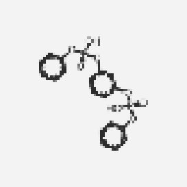 O=P(O)(Oc1ccccc1)Oc1cccc(OP(=O)(O)Oc2ccccc2)c1